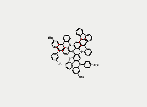 CC(C)(C)c1ccc(N(c2cccc(C(C)(C)C)c2)c2ccc3c(c2)N(c2ccccc2-c2ccccc2)c2cc(-n4c5ccccc5c5ccccc54)cc4c2B3c2c(cc(N(c3ccc(C(C)(C)C)cc3)c3cccc(C(C)(C)C)c3)c3c2sc2ccccc23)N4c2ccccc2-c2ccccc2)cc1